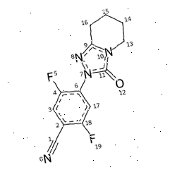 N#Cc1cc(F)c(-n2nc3n(c2=O)CCCC3)cc1F